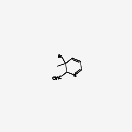 CC1(Br)C=CC=NC1C=O